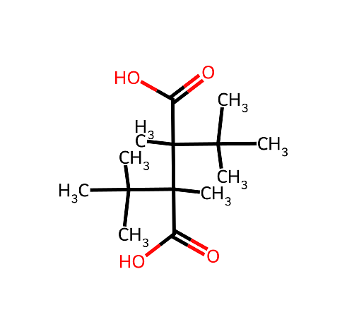 CC(C)(C)C(C)(C(=O)O)C(C)(C(=O)O)C(C)(C)C